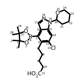 CC1(C)OB(c2c(CCCCC(=O)O)c(Cl)cc3c2cnn3C2CCCCO2)OC1(C)C